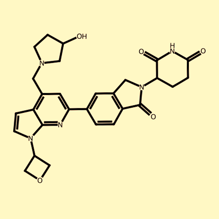 O=C1CCC(N2Cc3cc(-c4cc(CN5CCC(O)C5)c5ccn(C6COC6)c5n4)ccc3C2=O)C(=O)N1